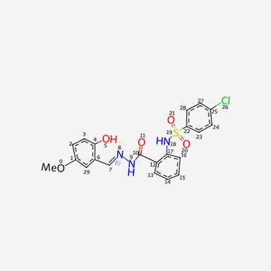 COc1ccc(O)c(/C=N/NC(=O)c2ccccc2NS(=O)(=O)c2ccc(Cl)cc2)c1